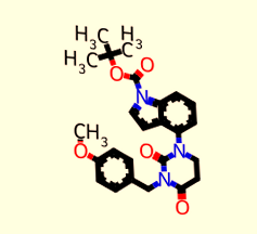 COc1ccc(CN2C(=O)CCN(c3cccc4c3ccn4C(=O)OC(C)(C)C)C2=O)cc1